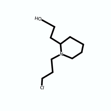 OCCC1CCCCN1CCCCl